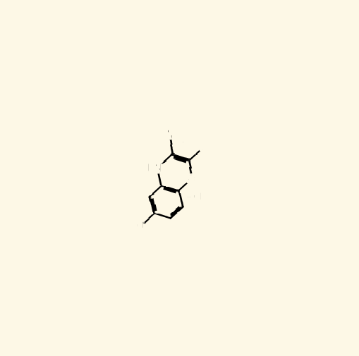 CC1=C(N)Nc2cc(Cl)ccc2O1.Cl